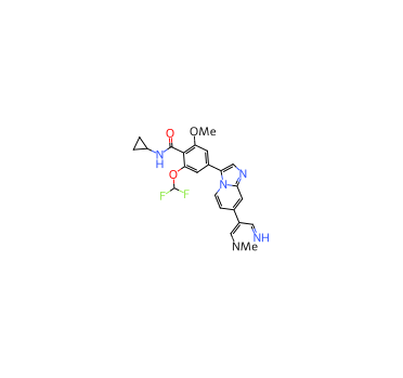 CN/C=C(\C=N)c1ccn2c(-c3cc(OC)c(C(=O)NC4CC4)c(OC(F)F)c3)cnc2c1